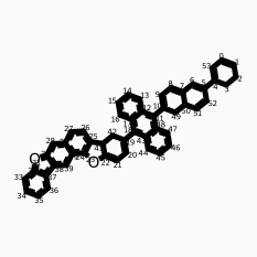 C1=CCCC(C2=CC3=CC=C(c4c5ccccc5c(C5=CC=C6Oc7c(ccc8cc9oc%10ccccc%10c9cc78)C6C5)c5ccccc45)CC3C=C2)=C1